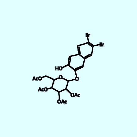 CC(=O)OCC1OC(Oc2cc3cc(Br)c(Br)cc3cc2O)C(OC(C)=O)C(OC(C)=O)C1OC(C)=O